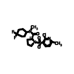 Cc1ccc(S(=O)(=O)N2CCC[C@H]2C(=O)N(C)C2CCC(F)(F)CC2)c(Cl)n1